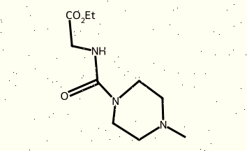 CCOC(=O)CNC(=O)N1CCN(C)CC1